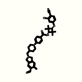 Cc1cc2c(cc1C=O)CN(CC1CCN(c3ccc(C(=O)N[C@H]4C(C)(C)[C@H](Oc5ccc(C#N)c(Cl)c5)C4(C)C)cc3)CC1)C2